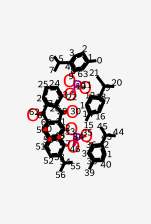 Cc1ccc(C(C)C)c(OP(Oc2cc(C)ccc2C(C)C)Oc2cccc3c2C(=O)c2c(OP(Oc4cc(C)ccc4C(C)C)Oc4cc(C)ccc4C(C)C)cccc2C3=O)c1